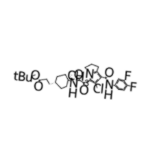 CC(C)(C)OC(=O)CC[C@H]1CC[C@](C)(NC(=O)C(=O)c2c(Cl)c(C(=O)Nc3ccc(F)c(F)c3)c3n2CCC3)CC1